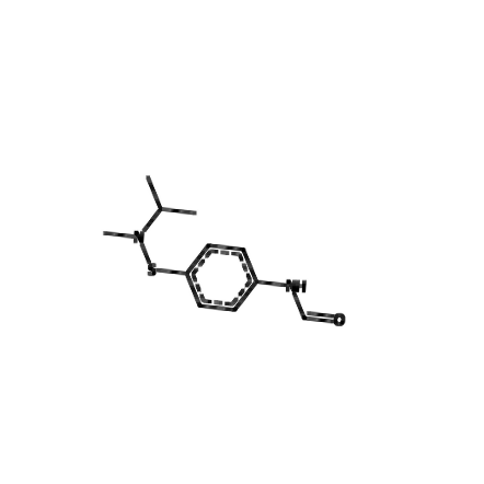 CC(C)N(C)Sc1ccc(NC=O)cc1